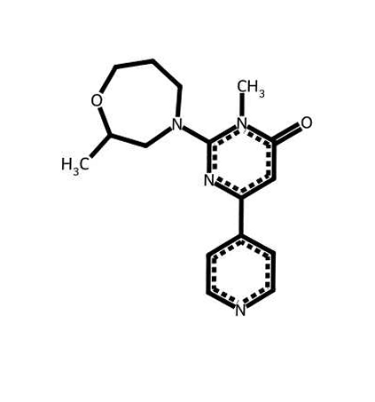 CC1CN(c2nc(-c3ccncc3)cc(=O)n2C)CCCO1